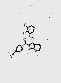 N#Cc1ccc(C(=O)c2sc3ccccc3c2OCc2cccc(F)c2F)cc1